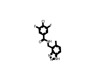 Cc1ccc2[nH]nnc2c1CNC(=O)c1cc(F)c(Cl)c(F)c1